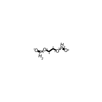 O=[PH2]OCCO[PH2]=O